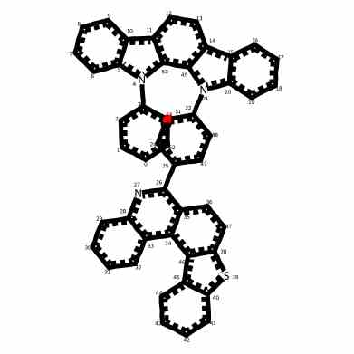 c1ccc(-n2c3ccccc3c3ccc4c5ccccc5n(-c5ccc(-c6nc7ccccc7c7c6ccc6sc8ccccc8c67)cc5)c4c32)cc1